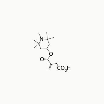 C=C(CC(=O)O)C(=O)OC1CC(C)(C)N(C)C(C)(C)C1